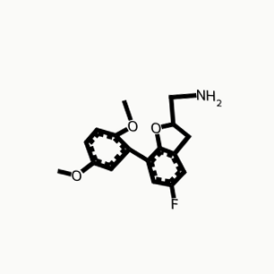 COc1ccc(OC)c(-c2cc(F)cc3c2OC(CN)C3)c1